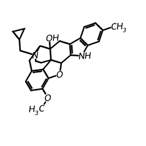 COc1ccc2c3c1OC1c4[nH]c5cc(C)ccc5c4CC4(O)C(C2)N(CC2CC2)CCC314